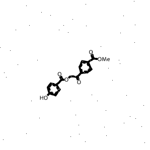 COC(=O)c1ccc(C(=O)COC(=O)c2ccc(O)cc2)cc1